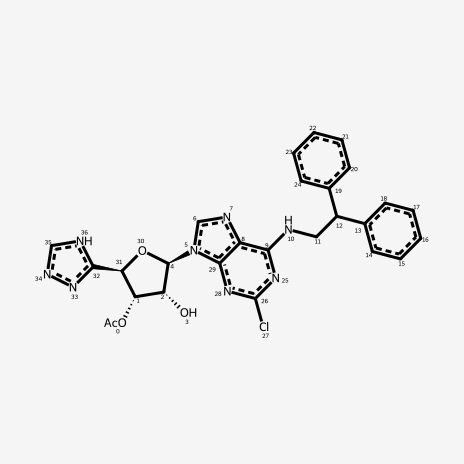 CC(=O)O[C@H]1[C@@H](O)[C@H](n2cnc3c(NCC(c4ccccc4)c4ccccc4)nc(Cl)nc32)O[C@@H]1c1nnc[nH]1